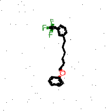 FC(F)(F)c1cccc(CCCCCCOc2cc[c]cc2)c1